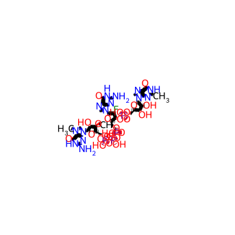 CO[C@@H]1C(O)[C@H](n2c[n+](C)c3c(=O)[nH]c(N)nc32)O[C@@H]1COP(=O)(O)OP(=O)(O)OP(=O)(O)OC[C@H]1O[C@@H](n2cnc3c(=O)[nH]c(N)nc32)[C@@H](F)C1OP(=O)(O)OC[C@H]1O[C@@H](n2cnc3c(=O)[nH]c(C)nc32)[C@@H](O)C1O